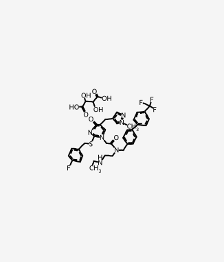 CCNCCN(Cc1ccc(-c2ccc(C(F)(F)F)cc2)cc1)C(=O)Cn1cc(Cc2cnn(C)c2)c(=O)nc1SCc1ccc(F)cc1.O=C(O)C(O)C(O)C(=O)O